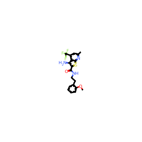 COc1ccccc1CCNC(=O)c1sc2nc(C)cc(C(F)(F)F)c2c1N